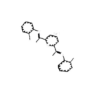 C/C(=N\c1ccccc1C)c1cccc(/C(C)=N/c2ccccc2C)n1.Cl.[Fe]